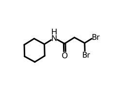 O=C(CC(Br)Br)NC1CCCCC1